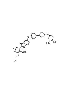 CCCCc1cc(C)cc(-n2nc3ccc(Sc4ccc(-c5ccc(SC6=CC(=N)C(=N)C=C6)cc5)cc4)cc3n2)c1O